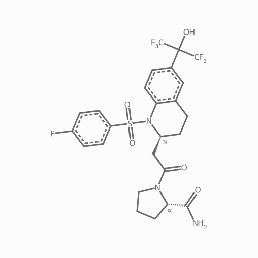 NC(=O)[C@@H]1CCCN1C(=O)C[C@@H]1CCc2cc(C(O)(C(F)(F)F)C(F)(F)F)ccc2N1S(=O)(=O)c1ccc(F)cc1